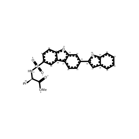 COC(=O)[C@H](NS(=O)(=O)c1ccc2oc3cc(-c4cc5ccccc5o4)ccc3c2c1)C(C)C